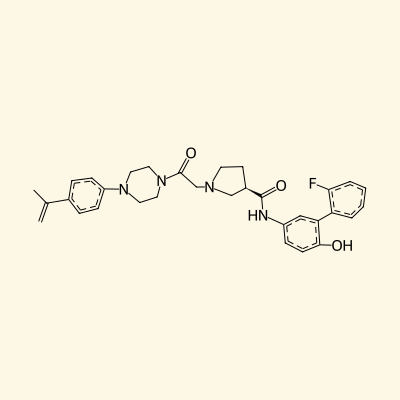 C=C(C)c1ccc(N2CCN(C(=O)CN3CC[C@@H](C(=O)Nc4ccc(O)c(-c5ccccc5F)c4)C3)CC2)cc1